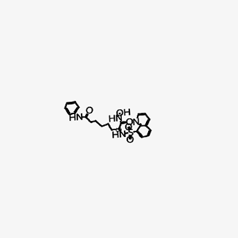 O=C(CCCCC[C@H](NS(=O)(=O)c1cccc2cccnc12)C(=O)NO)Nc1ccccc1